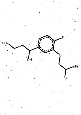 CCCC(CCC)COc1cc(C(O)CCN)ccc1F